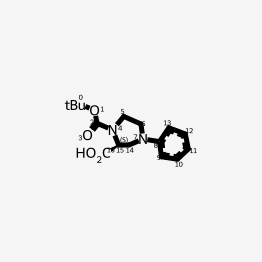 CC(C)(C)OC(=O)N1CCN(c2ccccc2)C[C@H]1C(=O)O